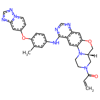 C=CC(=O)N1CCN2c3cc4c(Nc5ccc(Oc6ccn7ncnc7c6)c(C)c5)ncnc4cc3OC[C@@H]2C1